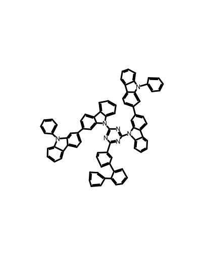 c1ccc(-c2ccccc2-c2cccc(-c3nc(-n4c5ccccc5c5ccc(-c6ccc7c8ccccc8n(-c8ccccc8)c7c6)cc54)nc(-n4c5ccccc5c5ccc(-c6ccc7c8ccccc8n(-c8ccccc8)c7c6)cc54)n3)c2)cc1